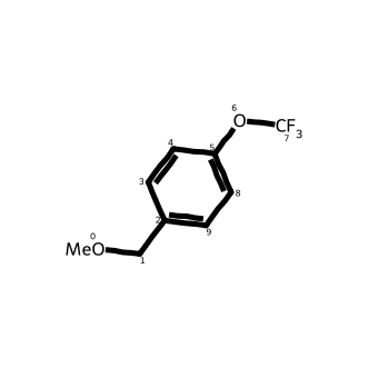 COCc1ccc(OC(F)(F)F)cc1